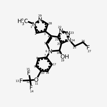 Cn1cc(C2=CN(c3ccc(OC(F)(F)F)cc3)C(O)c3c2nnn3CCF)cn1